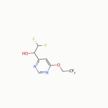 OC(c1cc(OCC(F)(F)F)ncn1)C(F)F